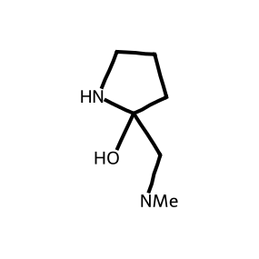 CNCC1(O)CCCN1